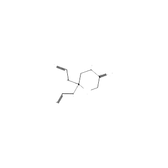 C=CCC1(CC=C)CCC(=O)CO1